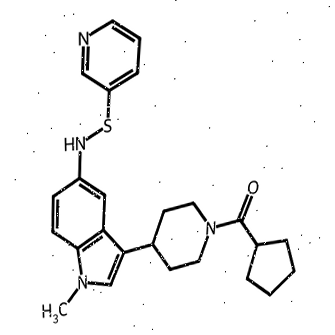 Cn1cc(C2CCN(C(=O)C3CCCC3)CC2)c2cc(NSc3cccnc3)ccc21